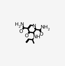 C=CC(C)NC1C(=O)C(C(N)=O)=CN=C1C(N)=O